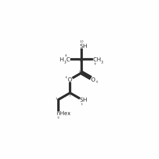 CCCCCCCC(S)OC(=O)C(C)(C)S